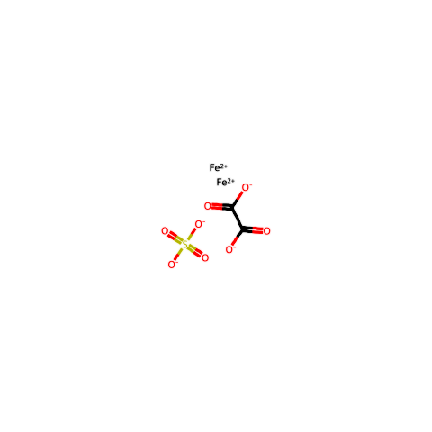 O=C([O-])C(=O)[O-].O=S(=O)([O-])[O-].[Fe+2].[Fe+2]